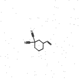 C=CC1CCCC(C#N)(C#N)C1